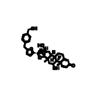 C[C@]12C=CC(=O)C=C1CC[C@H]1[C@@H]3C[C@H]4O[C@@H](c5ccc(Cc6ccc(CO)cc6)o5)O[C@@]4(C(=O)CO)[C@@]3(C)C[C@H](O)[C@@]12F